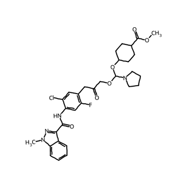 COC(=O)C1CCC(OC(OCC(=O)Cc2cc(Cl)c(NC(=O)c3nn(C)c4ccccc34)cc2F)N2CCCC2)CC1